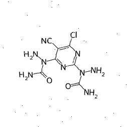 N#Cc1c(Cl)nc(N(N)C(N)=O)nc1N(N)C(N)=O